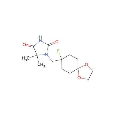 CC1(C)C(=O)NC(=O)N1CC1(F)CCC2(CC1)OCCO2